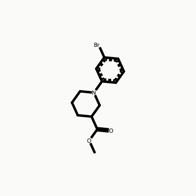 COC(=O)C1CCCN(c2cccc(Br)c2)C1